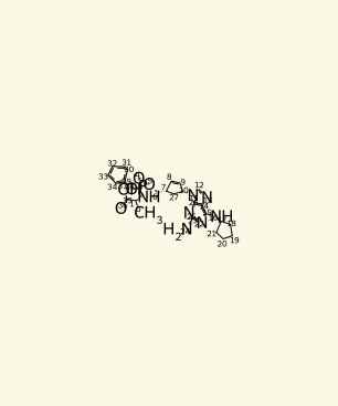 CC(N[P@](=O)(OC[C@@H]1C=C[C@H](n2cnc3c(NC4CCCC4)nc(N)nc32)C1)Oc1ccccc1)C(=O)O